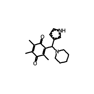 CC1=C(C)C(=O)C(C(c2cc[nH]c2)N2CCCCC2)=C(C)C1=O